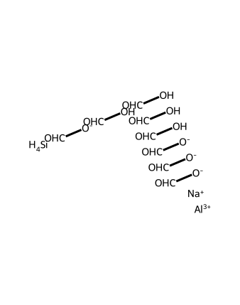 O=CO.O=CO.O=CO.O=CO.O=C[O-].O=C[O-].O=C[O-].O=C[O-].[Al+3].[Na+].[SiH4]